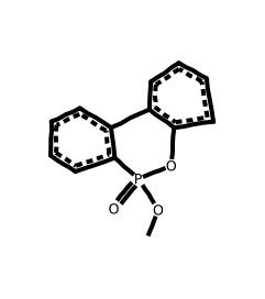 COP1(=O)Oc2ccccc2-c2ccccc21